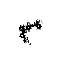 C=CC(=O)N1CCC[C@@H](n2nc(-c3ccc(OCc4nn(C)c5ccccc45)c(Cl)c3)c3c(N)ncnc32)C1